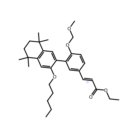 CCCCCOc1cc2c(cc1-c1cc(/C=C/C(=O)OCC)ccc1OCOC)C(C)(C)CCC2(C)C